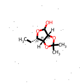 CC[C@@H]1OC(O)[C@@H]2OC(C)(C)O[C@H]12